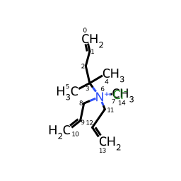 C=CCC(C)(C)[N+](C)(CC=C)CC=C.[Cl-]